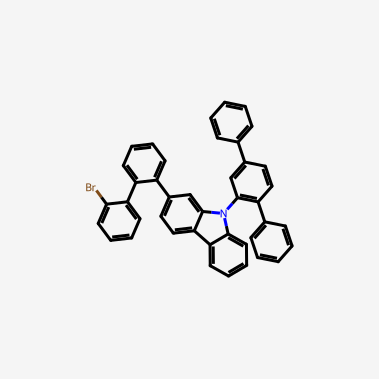 Brc1ccccc1-c1ccccc1-c1ccc2c3ccccc3n(-c3cc(-c4ccccc4)ccc3-c3ccccc3)c2c1